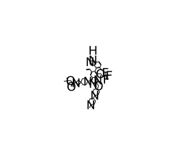 C=Cc1cc2c(N3CCC4(CC3)CN(C(=O)OC(C)(C)C)C4)nc(OC3CCN(C4CCN(C)CC4)CC3)nc2c(OCC(F)(F)F)c1-c1c(C)ccc2[nH]ncc12